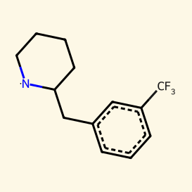 FC(F)(F)c1cccc(CC2CCCC[N]2)c1